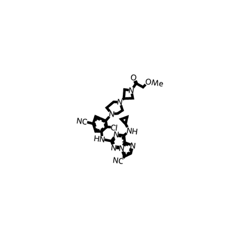 COCC(=O)N1CC(N2CCN(c3cc(C#N)cc(Nc4nc(NC5CC5)c5ncc(C#N)n5n4)c3Cl)CC2)C1